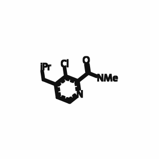 CNC(=O)c1nccc(CC(C)C)c1Cl